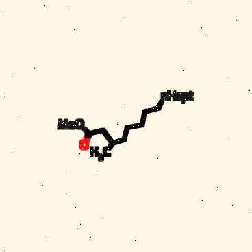 CCCCCCCCCCCCC(C)CC(=O)OC